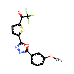 COc1cccc(-c2nnc(-c3ccc(C(=O)C(F)(F)F)s3)o2)c1